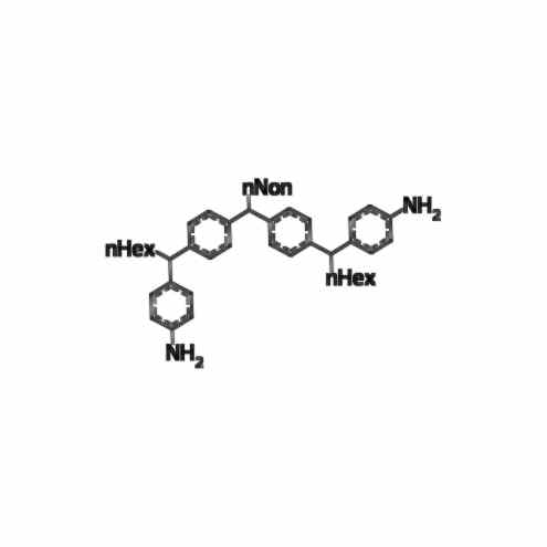 CCCCCCCCCC(c1ccc(C(CCCCCC)c2ccc(N)cc2)cc1)c1ccc(C(CCCCCC)c2ccc(N)cc2)cc1